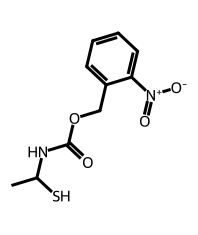 CC(S)NC(=O)OCc1ccccc1[N+](=O)[O-]